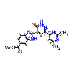 COC(=O)c1ccc2nc(-c3cc(-c4cc(N)nc(C)n4)n[nH]c3=O)[nH]c2c1